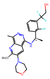 COc1nc2c(C)nnc(N[C@H](C)c3cccc(C(F)(F)CO)c3F)c2cc1N1CCOCC1